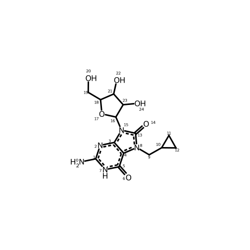 Nc1nc2c(c(=O)[nH]1)n(CC1CC1)c(=O)n2C1OC(CO)C(O)C1O